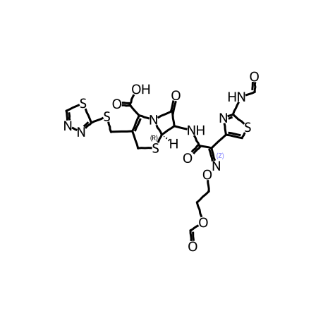 O=CNc1nc(/C(=N/OCCOC=O)C(=O)NC2C(=O)N3C(C(=O)O)=C(CSc4nncs4)CS[C@H]23)cs1